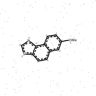 COc1ccc2c(ccc3scnc32)c1